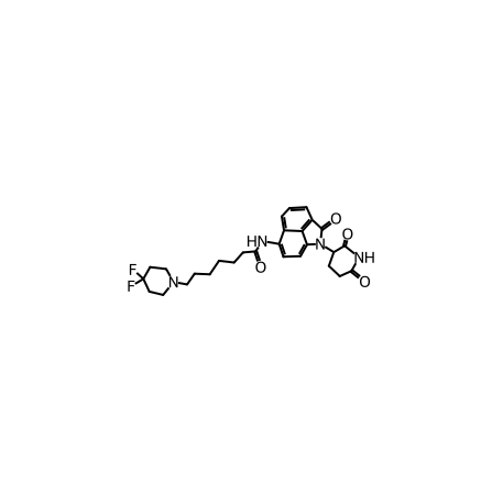 O=C1CCC(N2C(=O)c3cccc4c(NC(=O)CCCCCCN5CCC(F)(F)CC5)ccc2c34)C(=O)N1